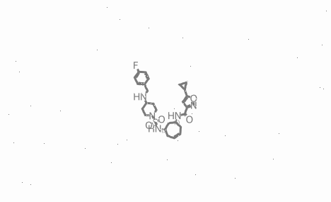 O=C(N[C@H]1CC=CC[C@H](NS(=O)(=O)N2CCC(NCc3ccc(F)cc3)CC2)C1)c1cc(C2CC2)on1